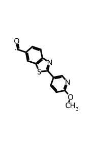 COc1ccc(-c2nc3ccc([C]=O)cc3s2)cn1